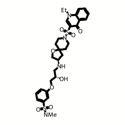 CCn1cc(S(=O)(=O)N2CCC3(CC2)C[C@@H](NC[C@H](O)COc2cccc(S(=O)(=O)NC)c2)CO3)c(=O)c2ccccc21